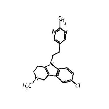 Cc1ncc(CCn2c3c(c4cc(Cl)ccc42)CN(C)CC3)cn1